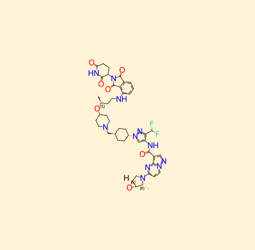 C[C@@H]1C2O[C@H]2CN1c1ccn2ncc(C(=O)Nc3cn([C@H]4CC[C@H](CN5CCC(O[C@@H](C)CCNc6cccc7c6C(=O)N(C6CCC(=O)NC6=O)C7=O)CC5)CC4)nc3C(F)F)c2n1